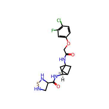 O=C(COc1ccc(Cl)c(F)c1)NC12CC(C1)[C@@H](NC(=O)C1CNSN1)C2